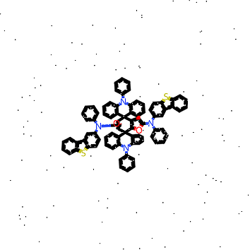 c1ccc(N(c2ccc3sc4ccccc4c3c2)c2cc3c(o2)C2(c4ccccc4N(c4ccccc4)c4ccccc42)c2cc(N(c4ccccc4)c4ccc5sc6ccccc6c5c4)oc2C32c3ccccc3N(c3ccccc3)c3ccccc32)cc1